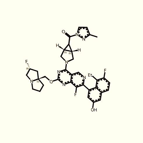 CCc1c(F)ccc2cc(O)cc(-c3ncc4c(N5C[C@@H]6C(C(=O)n7ccc(C)n7)[C@@H]6C5)nc(OC[C@@]56CCCN5C[C@H](F)C6)nc4c3F)c12